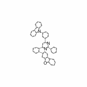 c1ccc(-c2nc(-c3cccc(-n4c5ccccc5c5ccccc54)c3)cc(-c3ccccc3-c3ccc4c(c3)oc3ccccc34)n2)cc1